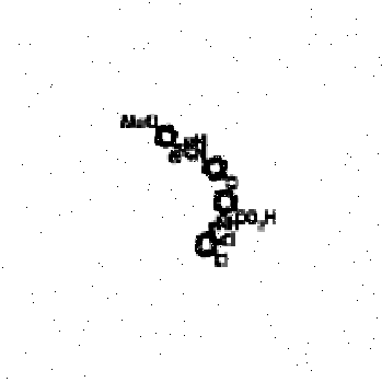 COc1ccc(S(=O)(=O)CNc2ccc(Oc3ccc(NCc4cccc(Cl)c4Cl)c(C(=O)O)c3)cc2)cc1